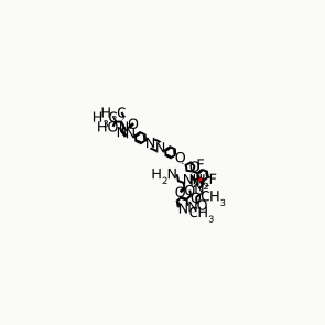 CC[C@@H]([C@H](C)O)n1ncn(-c2ccc(N3CCN(c4ccc(OC[C@@H]5CO[C@@](Cn6c[n+](C(C)OC(=O)N(C)c7ncccc7COC(=O)[C@@H](N)CCN)cn6)(c6ccc(F)cc6F)C5)cc4)CC3)cc2)c1=O